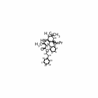 CCCOc1ccccc1C1C(C(=O)OCCc2ccccc2)=C(C)NC2=C1C(=O)CC(C)(C)C2